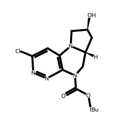 CC(C)(C)OC(=O)N1C[C@H]2C[C@H](O)CN2c2cc(Cl)nnc21